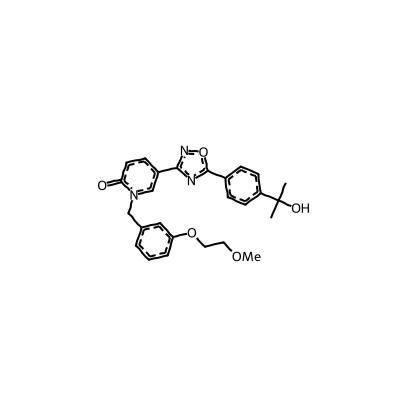 COCCOc1cccc(Cn2cc(-c3noc(-c4ccc(C(C)(C)O)cc4)n3)ccc2=O)c1